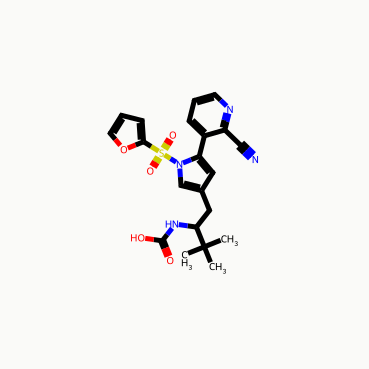 CC(C)(C)C(Cc1cc(-c2cccnc2C#N)n(S(=O)(=O)c2ccco2)c1)NC(=O)O